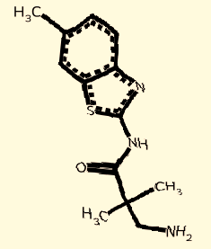 Cc1ccc2nc(NC(=O)C(C)(C)CN)sc2c1